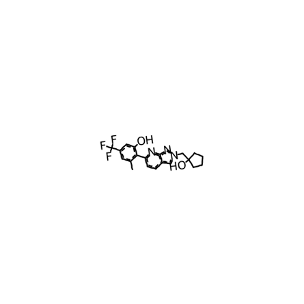 Cc1cc(C(F)(F)F)cc(O)c1-c1ccc2cn(CC3(O)CCCC3)nc2n1